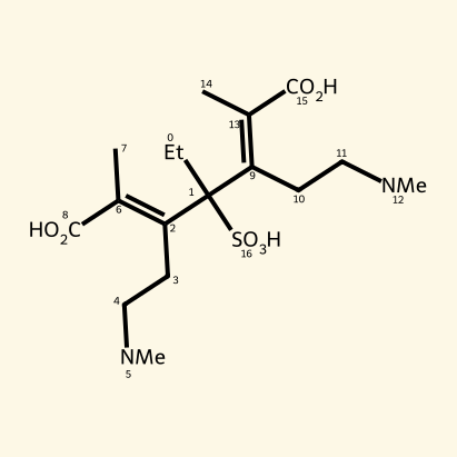 [CH2]CC(C(CCNC)=C(C)C(=O)O)(C(CCNC)=C(C)C(=O)O)S(=O)(=O)O